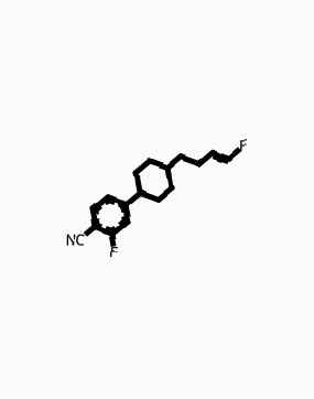 N#Cc1ccc(C2CCC(CC/C=C/F)CC2)cc1F